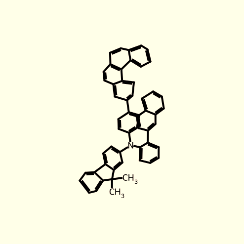 CC1(C)c2ccccc2-c2ccc(N(c3ccc(-c4ccc5c(ccc6ccc7ccccc7c65)c4)cc3)c3ccccc3-c3ccc4ccccc4c3)cc21